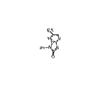 CCc1cnc2nc(=O)n(C(C)C)n2n1